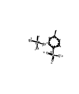 CC[N+](C)(CC)CC.Cc1ccc(S(=O)(=O)[O-])cc1